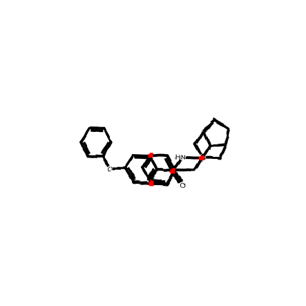 O=C(NCC1C2CCC1CN(Cc1ccccc1)C2)c1ccc(Oc2ccccc2)cc1